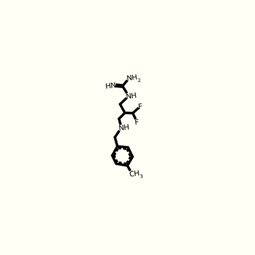 Cc1ccc(CNCC(CNC(=N)N)C(F)F)cc1